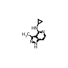 Cc1n[nH]c2ccnc(NC3CC3)c12